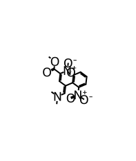 COC(=O)C(=CC(=CN(C)C)c1ccccc1[N+](=O)[O-])[N+](=O)[O-]